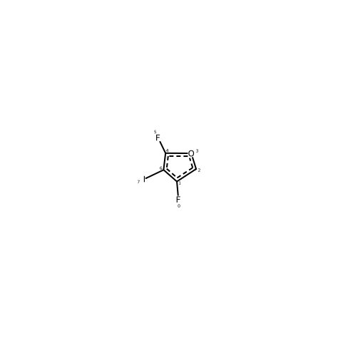 Fc1coc(F)c1I